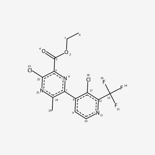 CCOC(=O)c1nc(-c2ccnc(C(F)(F)F)c2Cl)c(C)nc1Cl